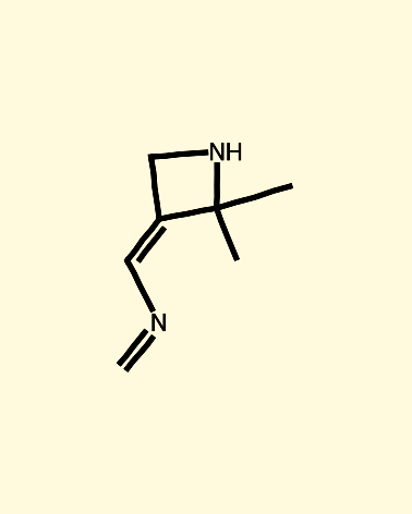 C=N/C=C1/CNC1(C)C